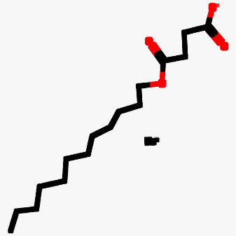 CCCCCCCCCCCCOC(=O)CCC(=O)[O-].[Na+]